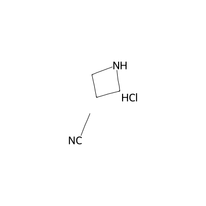 C1CNC1.CC#N.Cl